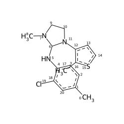 Cc1ccc(NC2N(C)CCN2c2ccsc2C)c(Cl)c1